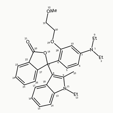 CCN(CC)c1ccc(C2(c3c(C)n(CC)c4ccccc34)OC(=O)c3ccccc32)c(OCCOC)c1